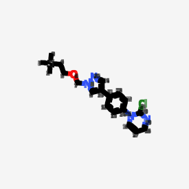 C[Si](C)(C)CCOCn1cc(-c2ccc(N3C=CC=NC3Cl)cc2)cn1